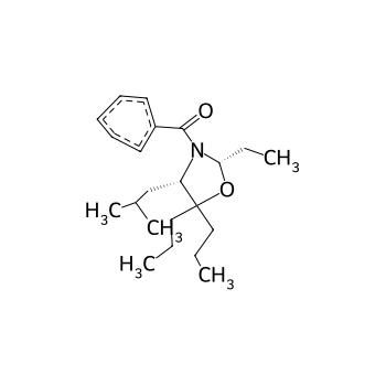 CCCC1(CCC)O[C@@H](CC)N(C(=O)c2ccccc2)[C@H]1CC(C)C